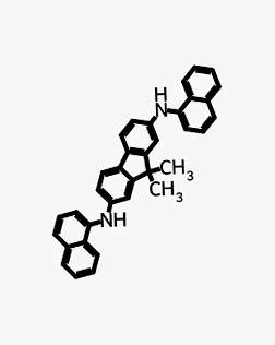 CC1(C)c2cc(Nc3cccc4ccccc34)ccc2-c2ccc(Nc3cccc4ccccc34)cc21